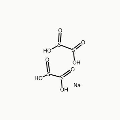 O=S(O)S(=O)O.O=S(O)S(=O)O.[Na]